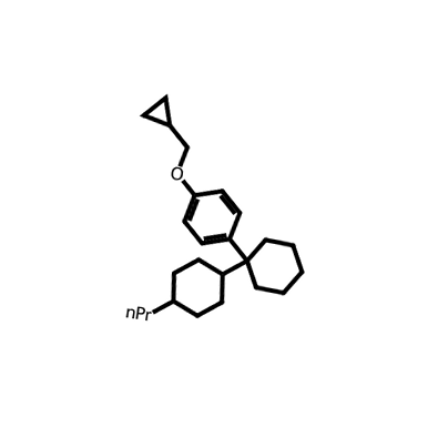 CCCC1CCC(C2(c3ccc(OCC4CC4)cc3)CCCCC2)CC1